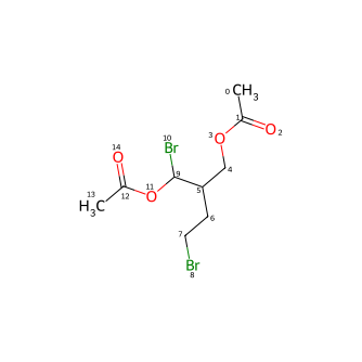 CC(=O)OCC(CCBr)C(Br)OC(C)=O